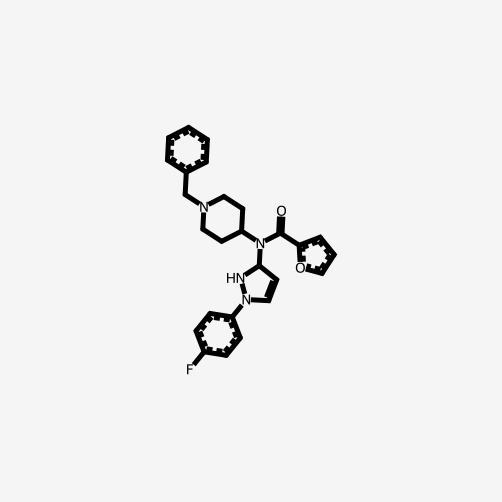 O=C(c1ccco1)N(C1CCN(Cc2ccccc2)CC1)C1C=CN(c2ccc(F)cc2)N1